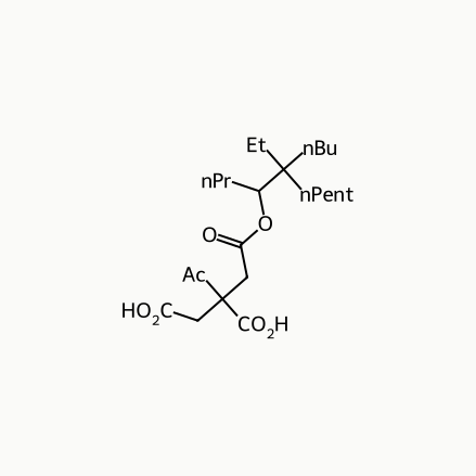 CCCCCC(CC)(CCCC)C(CCC)OC(=O)CC(CC(=O)O)(C(C)=O)C(=O)O